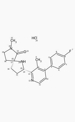 Cc1c(-c2ccc(F)cc2)ccnc1[C@@H]1CC[C@@]2(CCN(C)C2=O)N1.Cl